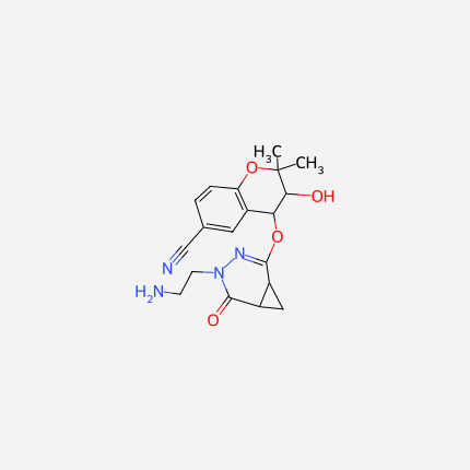 CC1(C)Oc2ccc(C#N)cc2C(OC2=NN(CCN)C(=O)C3CC23)C1O